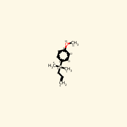 C=CC[Si](C)(C)c1ccc(OC)cc1